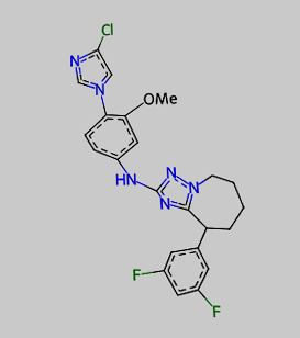 COc1cc(Nc2nc3n(n2)CCCCC3c2cc(F)cc(F)c2)ccc1-n1cnc(Cl)c1